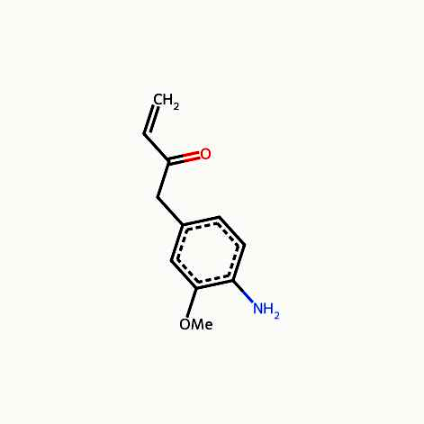 C=CC(=O)Cc1ccc(N)c(OC)c1